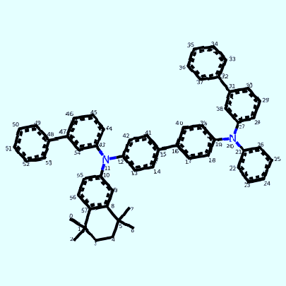 CC1(C)CCC(C)(C)c2cc(N(c3ccc(-c4ccc(N(c5ccccc5)c5cccc(-c6ccccc6)c5)cc4)cc3)c3cccc(-c4ccccc4)c3)ccc21